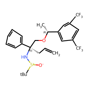 C=CC[C@](CO[C@H](C)c1cc(C(F)(F)F)cc(C(F)(F)F)c1)(N[S+]([O-])C(C)(C)C)c1ccccc1